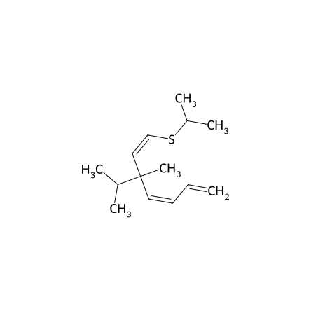 C=C/C=C\C(C)(/C=C\SC(C)C)C(C)C